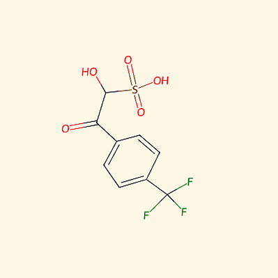 O=C(c1ccc(C(F)(F)F)cc1)C(O)S(=O)(=O)O